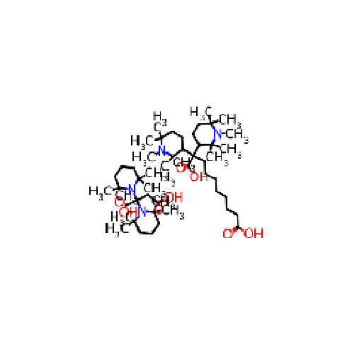 CC1(C)CCCC(C)(C)N1C(CC(=O)O)(C(=O)O)N1C(C)(C)CCCC1(C)C.CN1C(C)(C)CCC(C(CCCCCCCC(=O)O)(C(=O)O)C2CCC(C)(C)N(C)C2(C)C)C1(C)C